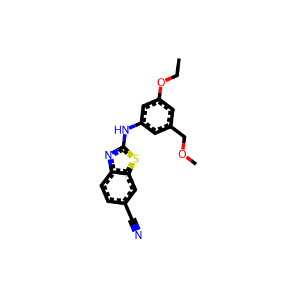 CCOc1cc(COC)cc(Nc2nc3ccc(C#N)cc3s2)c1